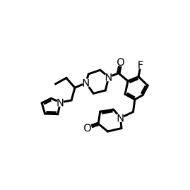 CCC(Cn1cccc1)N1CCN(C(=O)c2cc(CN3C=CC(=O)CC3)ccc2F)CC1